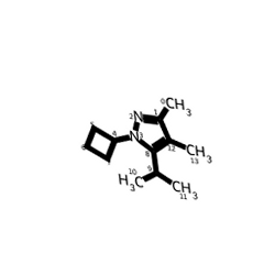 Cc1nn(C2CCC2)c(C(C)C)c1C